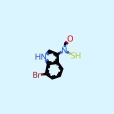 O=CN(S)c1c[nH]c2c(Br)cccc12